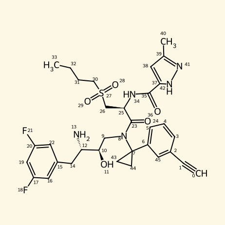 C#Cc1cccc(C2(N(C[C@@H](O)[C@@H](N)Cc3cc(F)cc(F)c3)C(=O)[C@@H](CS(=O)(=O)CCCC)NC(=O)c3cc(C)n[nH]3)CC2)c1